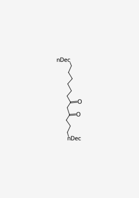 CCCCCCCCCCCCCCCCC(=O)CC(=O)CCCCCCCCCCCCC